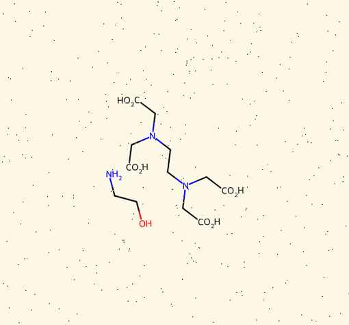 NCCO.O=C(O)CN(CCN(CC(=O)O)CC(=O)O)CC(=O)O